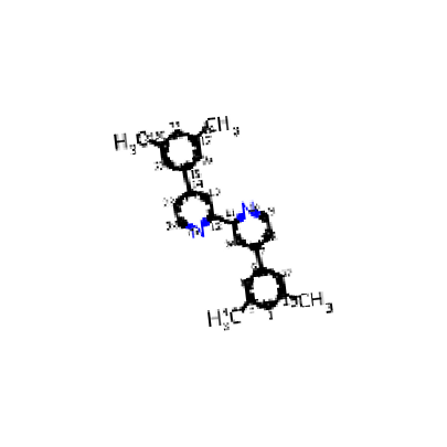 Cc1cc(C)cc(-c2ccnc(-c3cc(-c4cc(C)cc(C)c4)ccn3)c2)c1